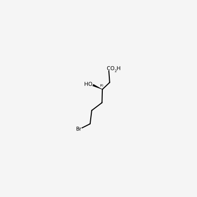 O=C(O)C[C@H](O)CCCBr